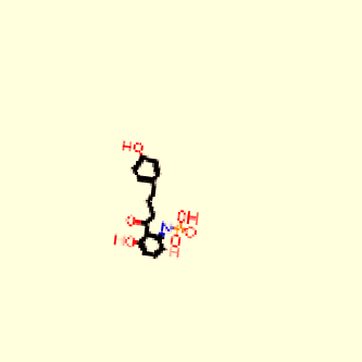 O=C(CCCc1ccc(O)cc1)C1C(O)=CC=CC1=NP(=O)(O)O